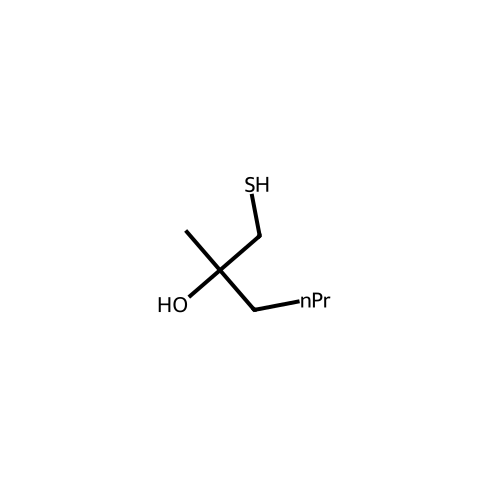 CCCCC(C)(O)CS